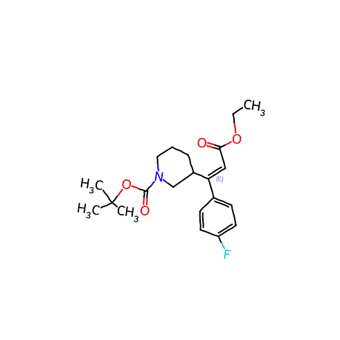 CCOC(=O)/C=C(/c1ccc(F)cc1)C1CCCN(C(=O)OC(C)(C)C)C1